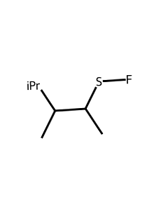 CC(C)C(C)C(C)SF